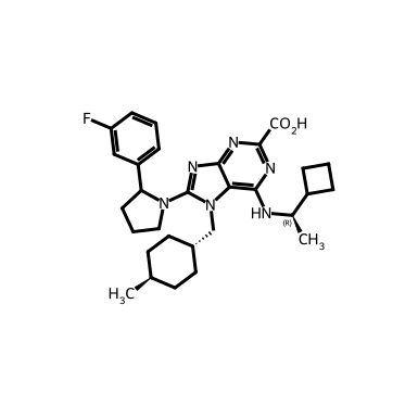 C[C@@H](Nc1nc(C(=O)O)nc2nc(N3CCCC3c3cccc(F)c3)n(C[C@H]3CC[C@H](C)CC3)c12)C1CCC1